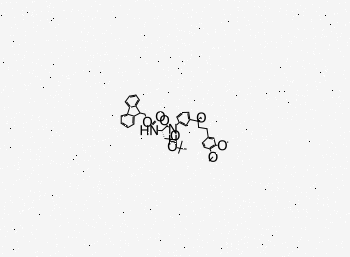 COc1ccc(CCC(=O)c2cccc(NC(=O)[C@H](CC(=O)OC(C)(C)C)NC(=O)OCC3c4ccccc4-c4ccccc43)c2)cc1OC